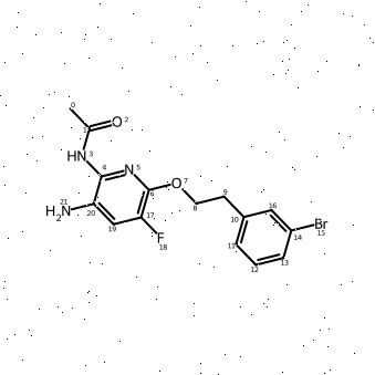 CC(=O)Nc1nc(OCCc2cccc(Br)c2)c(F)cc1N